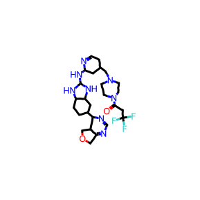 O=C(CC(F)(F)F)N1CCN(CC2CC=NC(NC3NC4CCC(C5N=CN=C6COCC65)CC4N3)C2)CC1